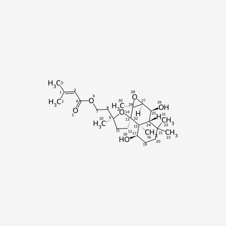 CC(C)=CC(=O)OCC[C@]1(C)CC[C@@]2(O1)[C@]1(C)[C@H](O)CCC(C)(C)[C@H]1[C@H](O)[C@@H]1O[C@@]12C